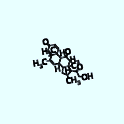 CC1=C[C@H]2[C@@H]3CC(C)[C@H](C(=O)CO)[C@@]3(C)CC(=O)[C@@H]2[C@@]2(C)C=CC(=O)C=C12